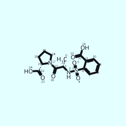 C[C@H](NS(=O)(=O)c1ccccc1C(=O)O)C(=O)N1CCC[C@H]1C(=O)O